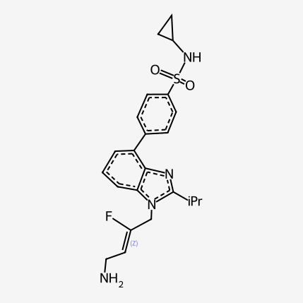 CC(C)c1nc2c(-c3ccc(S(=O)(=O)NC4CC4)cc3)cccc2n1C/C(F)=C/CN